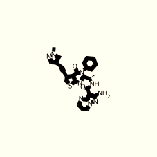 C[C@H](NC(=O)c1c(N)nn2cccnc12)c1nc2scc(C#Cc3cnn(C)c3)c2c(=O)n1-c1ccccc1